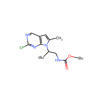 Cc1cc2cnc(Cl)nc2n1C(CNC(=O)OC(C)(C)C)C(C)(C)C